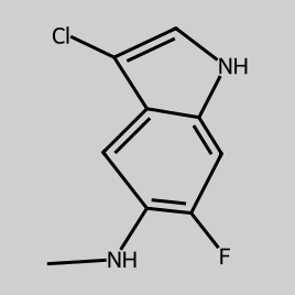 CNc1cc2c(Cl)c[nH]c2cc1F